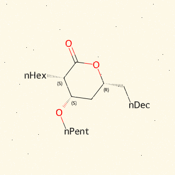 CCCCCCCCCCC[C@@H]1C[C@H](OCCCCC)[C@H](CCCCCC)C(=O)O1